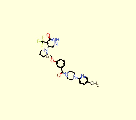 Cc1ccc(N2CCN(C(=O)c3cccc(OC[C@@H]4CCCN4c4cn[nH]c(=O)c4C(F)(F)F)c3)CC2)nc1